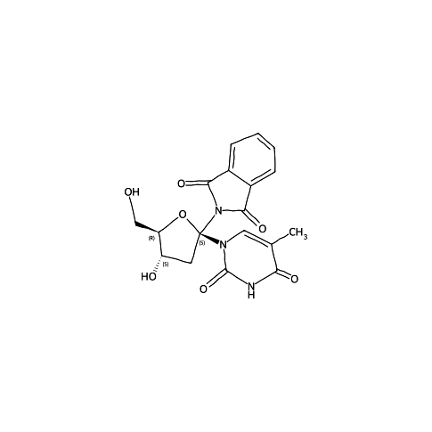 Cc1cn([C@@]2(N3C(=O)c4ccccc4C3=O)C[C@H](O)[C@@H](CO)O2)c(=O)[nH]c1=O